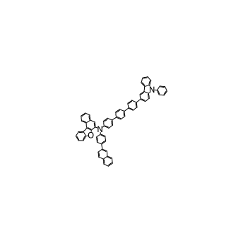 c1ccc(-n2c3ccccc3c3cc(-c4ccc(-c5ccc(-c6ccc(N(c7ccc(-c8ccc9ccccc9c8)cc7)c7cc8ccccc8c8c7oc7ccccc78)cc6)cc5)cc4)ccc32)cc1